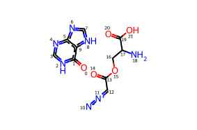 O=c1[nH]cnc2nc[nH]c12.[N-]=[N+]=CC(=O)OCC(N)C(=O)O